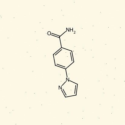 NC(=O)c1[c]cc(-n2cccn2)cc1